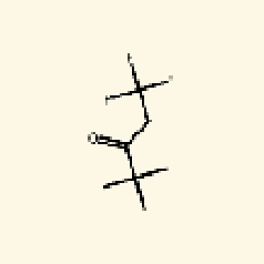 CC(C)(C)C(=O)CC(F)(F)F